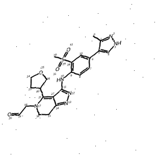 Cc1n[nH]cc1-c1ccc(NC2=NN=C3CCN(CC=O)C(C4CCOC4)=C32)c(S(C)(=O)=O)c1